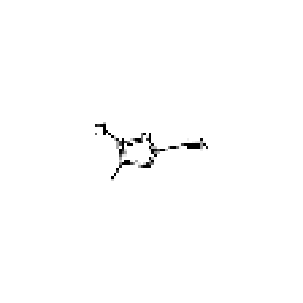 Cc1cc(C#N)nn1Cl